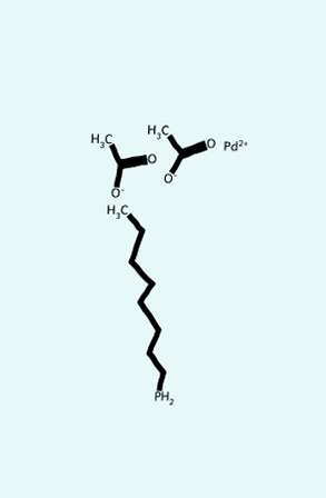 CC(=O)[O-].CC(=O)[O-].CCCCCCCCP.[Pd+2]